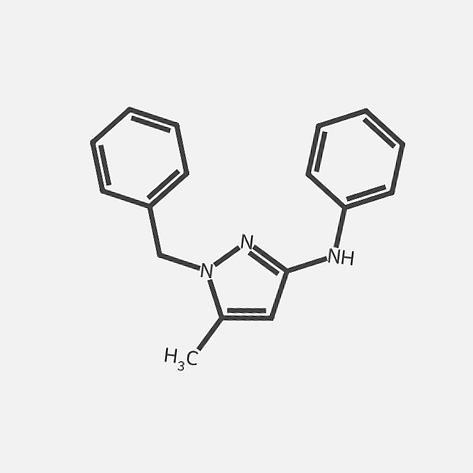 Cc1cc(Nc2ccccc2)nn1Cc1ccccc1